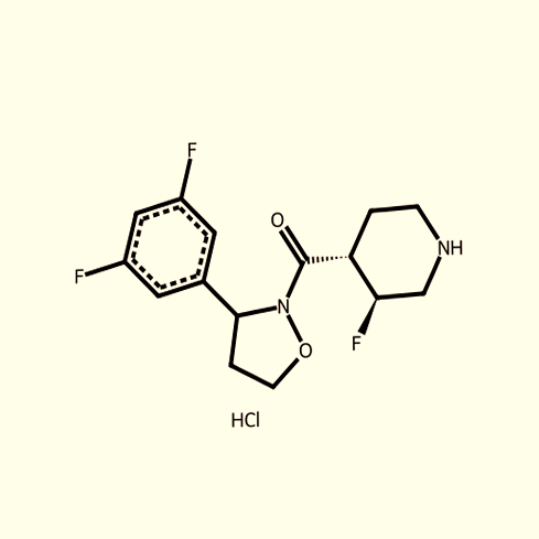 Cl.O=C([C@@H]1CCNC[C@H]1F)N1OCCC1c1cc(F)cc(F)c1